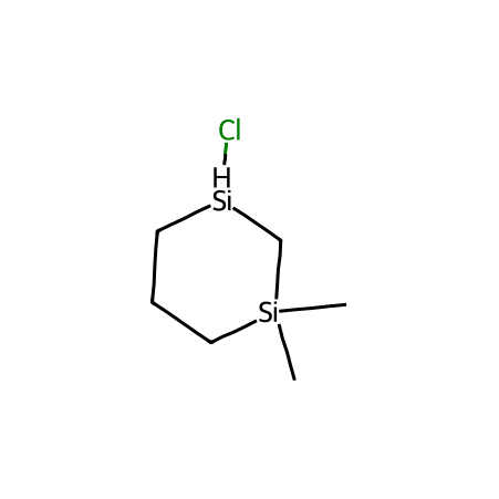 C[Si]1(C)CCC[SiH](Cl)C1